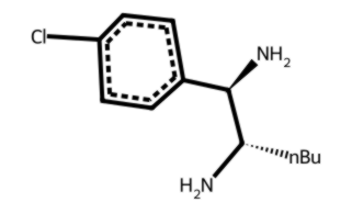 CCCC[C@H](N)[C@H](N)c1ccc(Cl)cc1